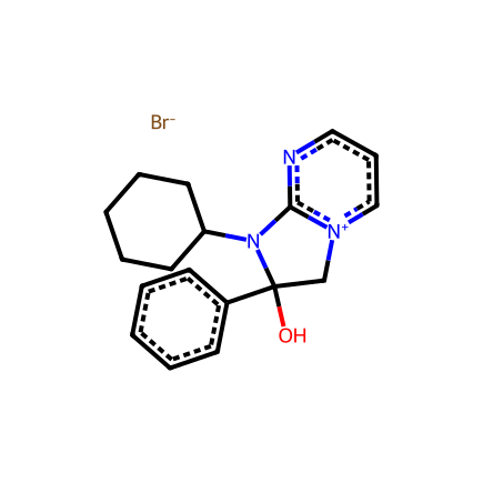 OC1(c2ccccc2)C[n+]2cccnc2N1C1CCCCC1.[Br-]